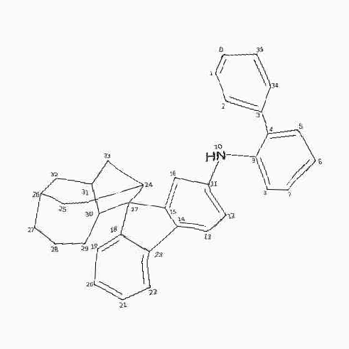 c1ccc(-c2ccccc2Nc2ccc3c(c2)C2(c4ccccc4-3)C3CC4CCCC2C(C4)C3)cc1